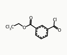 O=C(Cl)c1cccc(C(=O)OCC(Cl)(Cl)Cl)c1